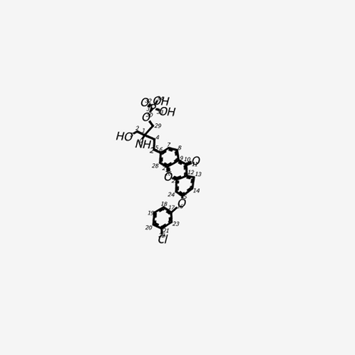 NC(CO)(CCc1ccc2c(=O)c3ccc(Oc4cccc(Cl)c4)cc3oc2c1)COP(=O)(O)O